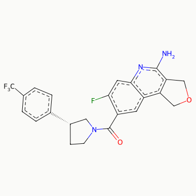 Nc1nc2cc(F)c(C(=O)N3CC[C@H](c4ccc(C(F)(F)F)cc4)C3)cc2c2c1COC2